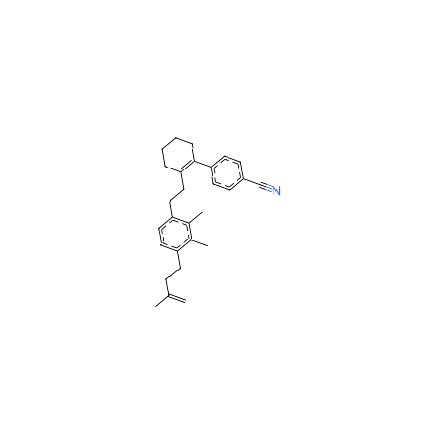 C=C(C)CCc1ccc(CCC2=C(c3ccc(C#N)cc3)CCCC2)c(C)c1C